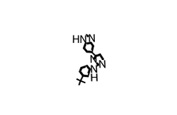 CC(C)(C)c1cccc(Nc2nccc(-c3ccc4[nH]cnc4c3)n2)c1